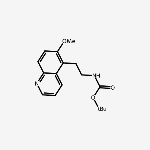 COc1ccc2ncccc2c1CCNC(=O)OC(C)(C)C